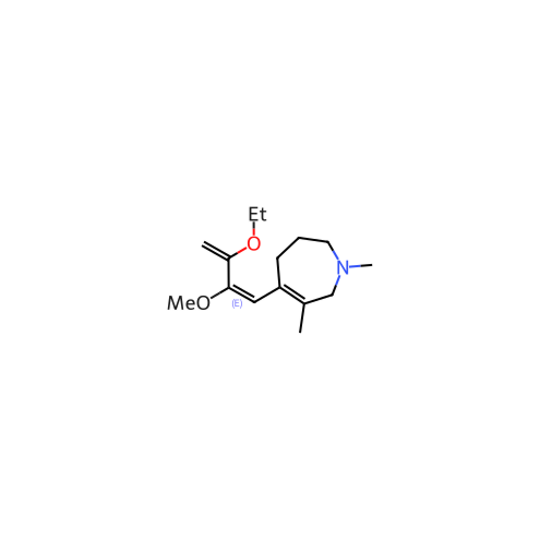 C=C(OCC)/C(=C\C1=C(C)CN(C)CCC1)OC